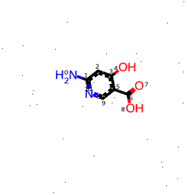 Nc1cc(O)c(C(=O)O)cn1